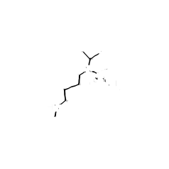 CNCCCCN(C(C)C)S(N)(=O)=O